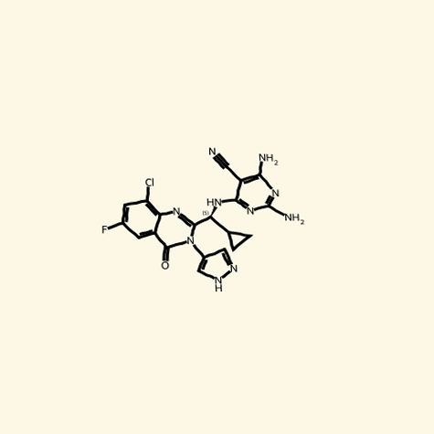 N#Cc1c(N)nc(N)nc1N[C@H](c1nc2c(Cl)cc(F)cc2c(=O)n1-c1cn[nH]c1)C1CC1